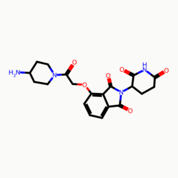 NC1CCN(C(=O)COc2cccc3c2C(=O)N(C2CCC(=O)NC2=O)C3=O)CC1